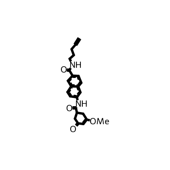 C#CCCCNC(=O)c1ccc2cc(NC(=O)C3CC(=O)C=C(OC)C3)ccc2c1